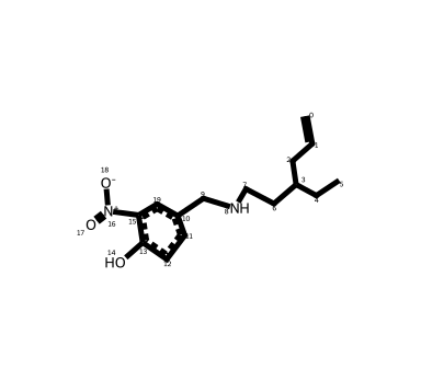 C=CCC(CC)CCNCc1ccc(O)c([N+](=O)[O-])c1